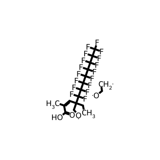 CCC(C=C(C)C(=O)O)(C[O])C(F)(F)C(F)(F)C(F)(F)C(F)(F)C(F)(F)C(F)(F)C(F)(F)C(F)(F)F.[CH2]C[O]